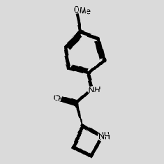 COc1ccc(NC(=O)[C@@H]2CCN2)cc1